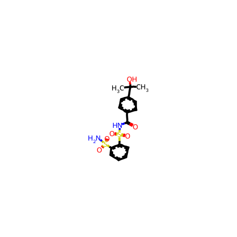 CC(C)(O)c1ccc(C(=O)NS(=O)(=O)c2ccccc2S(N)(=O)=O)cc1